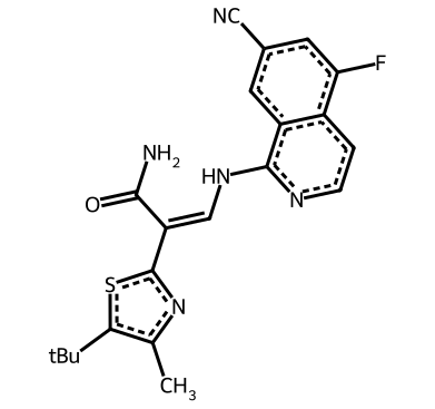 Cc1nc(C(=CNc2nccc3c(F)cc(C#N)cc23)C(N)=O)sc1C(C)(C)C